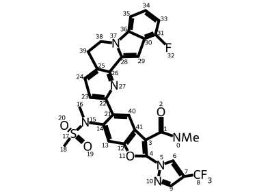 CNC(=O)c1c(-n2cc(C(F)(F)F)cn2)oc2cc(N(C)S(C)(=O)=O)c(-c3ccc4c(n3)-c3cc5c(F)cccc5n3CC4)cc12